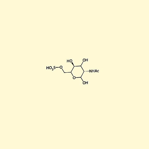 CC(=O)N[C@@H]1C(O)OC(COS(=O)(=O)O)[C@@H](O)C1O